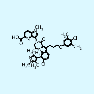 Cc1cc(OCCCc2c3n(c4c(-c5c(C)nn(C)c5C)c(Cl)ccc24)[C@H](C)CN(c2cn(C)c4ccc(C(=O)O)nc24)C3=O)cc(C)c1Cl